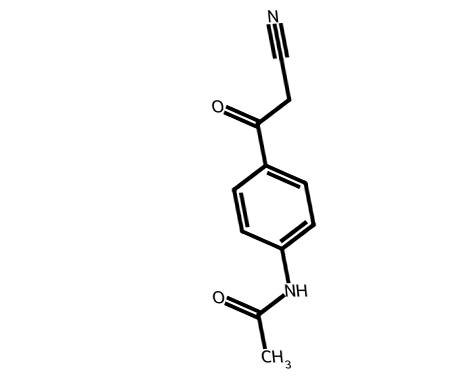 CC(=O)Nc1ccc(C(=O)CC#N)cc1